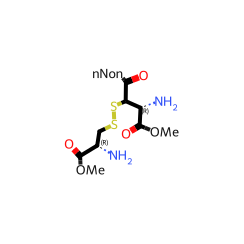 CCCCCCCCCC(=O)C(SSC[C@H](N)C(=O)OC)[C@H](N)C(=O)OC